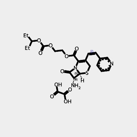 CCC(CC)OC(=O)OCCOC(=O)C1=C(/C=C\c2cccnc2)CS[C@H]2[C@H](N)C(=O)N12.O=C(O)C(=O)O